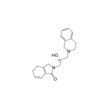 O=C1C2=C(CCC=C2)CN1C[C@H](O)CN1CCc2ccccc2C1